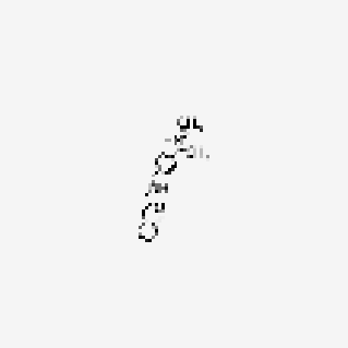 CSNC(C)c1ccc(CNCC2Cc3ccccc3CO2)cc1